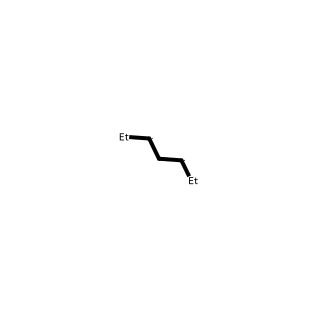 [CH2]C[CH]C[CH]C[CH2]